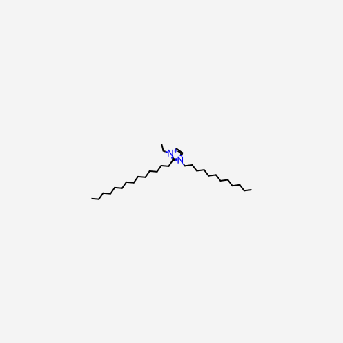 CCCCCCCCCCCCCCc1n(CCCCCCCCCCCC)cc[n+]1CC